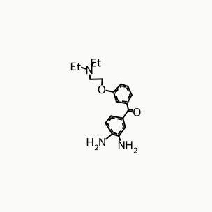 CCN(CC)CCOc1cccc(C(=O)c2ccc(N)c(N)c2)c1